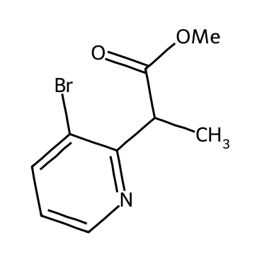 COC(=O)C(C)c1ncccc1Br